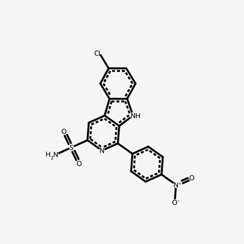 NS(=O)(=O)c1cc2c([nH]c3ccc(Cl)cc32)c(-c2ccc([N+](=O)[O-])cc2)n1